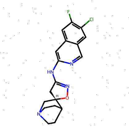 Fc1cc2cc(NC3=NO[C@@]4(C3)CN3CCC4CC3)ncc2cc1Cl